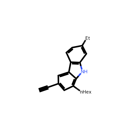 C#Cc1cc(CCCCCC)c2[nH]c3cc(CC)ccc3c2c1